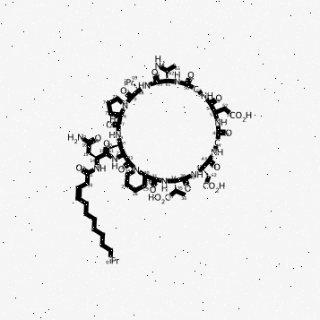 CC(C)CCCCCCC/C=C\CC(=O)N[C@@H](CC(N)=O)C(=O)NC1C(=O)N2CCCC[C@@H]2C(=O)N[C@@H](C(C)C(=O)O)C(=O)N[C@@H](CC(=O)O)C(=O)NCC(=O)NC(CC(=O)O)C(=O)NCC(=O)N[C@H](C(C)N)C(=O)N[C@@H](C(C)C)C(=O)N2CCC[C@H]2C(=O)N[C@@H]1C